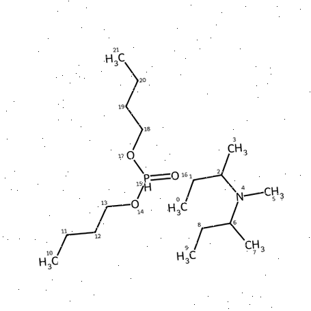 CCC(C)N(C)C(C)CC.CCCCO[PH](=O)OCCCC